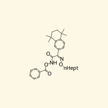 CCCCCCCON=C(C(=O)NOC(=O)c1ccccc1)c1ccc2c(c1)C(C)(C)CCC2(C)C